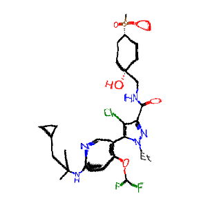 CCn1nc(C(=O)NC[C@]2(O)CC[C@@H](S(C)(=O)=O)CC2)c(Cl)c1-c1cnc(NC(C)(C)CC2CC2)cc1OC(F)F